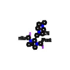 CCCCc1cc(I)cc(N2c3ccccc3B3c4ccccc4N(c4cc(I)cc(C(C)CCC)c4)c4cc(-c5ccc6c(c5)c5ccccc5n6-c5ccccc5-c5cc(C#N)ccc5-n5c6ccccc6c6ccccc65)cc2c43)c1